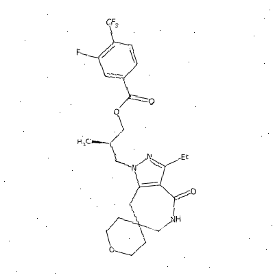 CCc1nn(C[C@@H](C)COC(=O)c2ccc(C(F)(F)F)c(F)c2)c2c1C(=O)NCC1(CCOCC1)C2